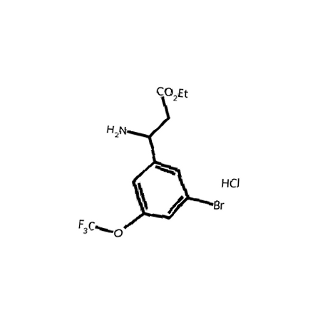 CCOC(=O)CC(N)c1cc(Br)cc(OC(F)(F)F)c1.Cl